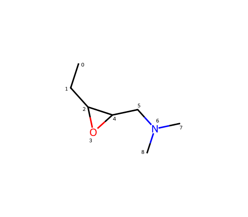 CCC1OC1CN(C)C